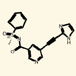 C[S@@](=O)(=NC(=O)c1cncc(C#Cc2ncc[nH]2)c1)c1ccccc1